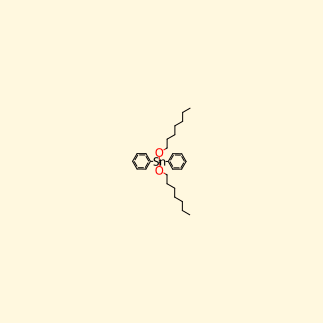 CCCCCCC[O][Sn]([O]CCCCCCC)([c]1ccccc1)[c]1ccccc1